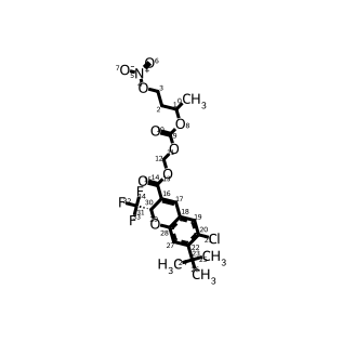 CC(CCO[N+](=O)[O-])OC(=O)OCOC(=O)C1=Cc2cc(Cl)c(C(C)(C)C)cc2O[C@@H]1C(F)(F)F